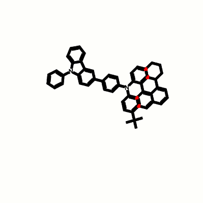 CC(C)(C)c1ccc(N(c2ccc(-c3ccc4c(c3)c3ccccc3n4-c3ccccc3)cc2)c2ccccc2-c2cccc3cccc(C4CCCCC4)c23)cc1